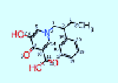 CC[C@H](Cn1cc(O)c(=O)c(C(=O)O)c1)c1ccccc1